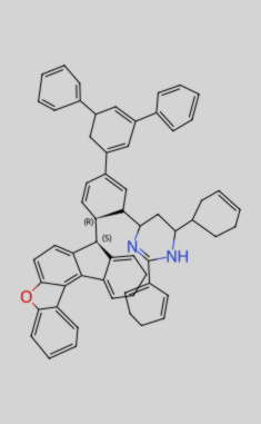 C1=CC(C2=NC(C3C=C(C4=CC(c5ccccc5)=CC(c5ccccc5)C4)C=C[C@@H]3[C@H]3C4=CCCC=C4c4c3ccc3oc5ccccc5c43)CC(C3CC=CCC3)N2)=CCC1